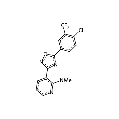 CNc1ncccc1-c1noc(-c2ccc(Cl)c(C(F)(F)F)c2)n1